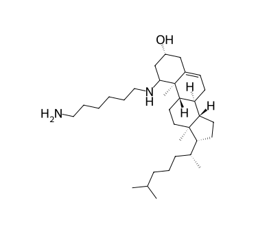 CC(C)CCC[C@@H](C)[C@H]1CC[C@H]2[C@@H]3CC=C4C[C@@H](O)CC(NCCCCCCN)[C@]4(C)[C@H]3CC[C@]12C